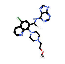 COCCN1CCN(c2c(C(C)NC3N=CN=C4NC=NC43)cc(Cl)c3cccnc23)CC1